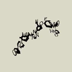 Cc1cc(Nc2ncnc(-c3ccc(O[C@H]4CCN(C(=O)[C@@H]5CCC(=O)N5)C[C@H]4F)c(C#N)c3)n2)ccc1N1CCN(C2COC2)CC1